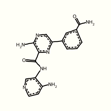 NC(=O)c1cccc(-c2cnc(N)c(C(=O)Nc3cnccc3N)n2)c1